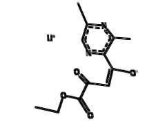 CCOC(=O)C(=O)/C=C(/[O-])c1ncc(C)nc1C.[Li+]